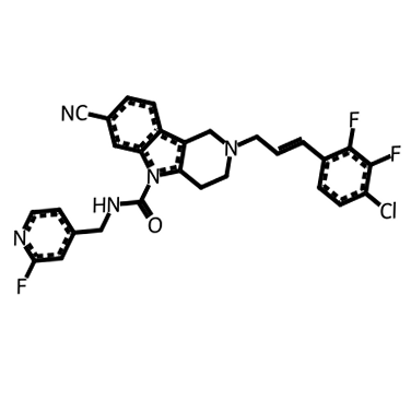 N#Cc1ccc2c3c(n(C(=O)NCc4ccnc(F)c4)c2c1)CCN(CC=Cc1ccc(Cl)c(F)c1F)C3